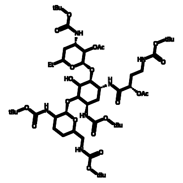 CCC1C[C@H](NC(=O)OC(C)(C)C)C(OC(C)=O)[C@@H](O[C@@H]2C(O)C(O[C@H]3OC(CNC(=O)OC(C)(C)C)CCC3NC(=O)OC(C)(C)C)[C@H](NC(=O)OC(C)(C)C)C[C@H]2NC(=O)[C@H](CCNC(=O)OC(C)(C)C)OC(C)=O)O1